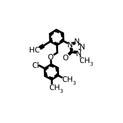 C#Cc1cccc(-n2nnn(C)c2=O)c1COc1cc(C)c(C)cc1Cl